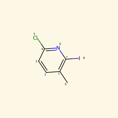 Cc1ccc(Cl)nc1I